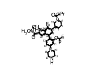 CC(C)C(=O)N1CCC=C(c2cc(-c3ccc(N4CCNCC4)cc3OC(F)F)c3cc(C(=O)N(C)C)[nH]c3c2F)C1